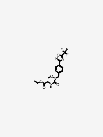 CCOC(=O)CN(C)C(=O)N(Cc1ccc(-c2noc(C(F)(F)F)n2)cc1)OC